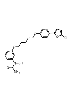 NC(=O)N(S)c1cccc(OCCCCCOc2ccc(-c3ccc(Cl)s3)cc2)c1